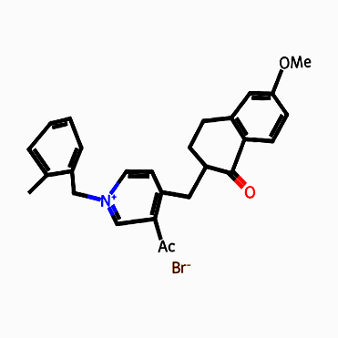 COc1ccc2c(c1)CCC(Cc1cc[n+](Cc3ccccc3C)cc1C(C)=O)C2=O.[Br-]